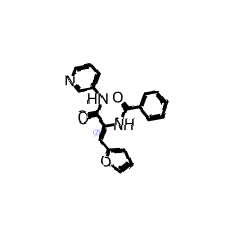 O=C(Nc1cccnc1)/C(=C/c1ccco1)NC(=O)c1ccccc1